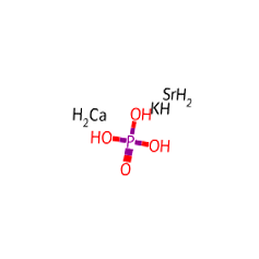 O=P(O)(O)O.[CaH2].[KH].[SrH2]